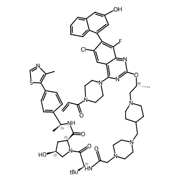 C=CC(=O)N1CCN(c2nc(O[C@H](C)CN3CCC(CN4CCN(CC(=O)N[C@H](C(=O)N5C[C@@H](O)C[C@H]5C(=O)N[C@@H](C)c5ccc(-c6scnc6C)cc5)C(C)(C)C)CC4)CC3)nc3c(F)c(-c4cc(O)cc5ccccc45)c(Cl)cc23)CC1